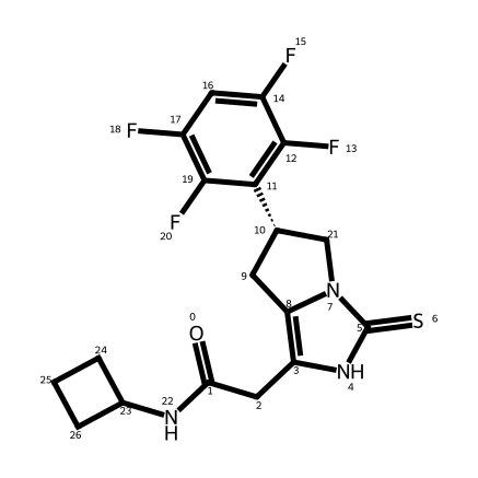 O=C(Cc1[nH]c(=S)n2c1C[C@H](c1c(F)c(F)cc(F)c1F)C2)NC1CCC1